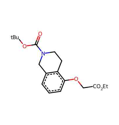 CCOC(=O)COc1cccc2c1CCN(C(=O)OC(C)(C)C)C2